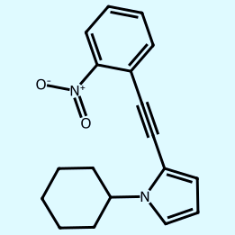 O=[N+]([O-])c1ccccc1C#Cc1cccn1C1CCCCC1